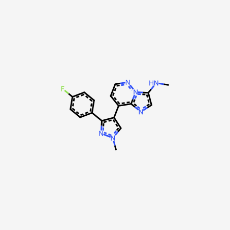 CNc1cnc2c(-c3cn(C)nc3-c3ccc(F)cc3)ccnn12